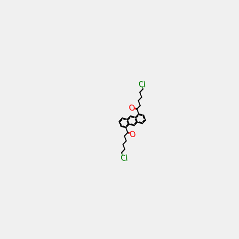 O=C(CCCCCCl)c1cccc2cc3c(C(=O)CCCCCCl)cccc3cc12